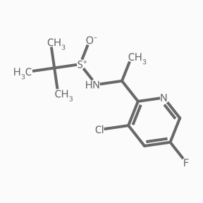 CC(N[S+]([O-])C(C)(C)C)c1ncc(F)cc1Cl